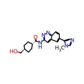 Cn1cncc1-c1ccc2nnc(NC(=O)[C@H]3CC[C@H](CO)CC3)cc2c1